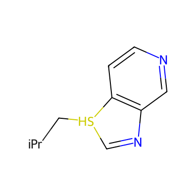 CC(C)C[SH]1C=Nc2cnccc21